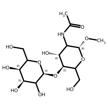 CO[C@@H]1OC(CO)[C@@H](O[C@@H]2OC(CO)[C@H](O)[C@H](O)C2O)[C@H](O)C1NC(C)=O